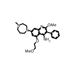 COCCOc1cc(N2CCCN(C)CC2)cc2nc(OC)c(-c3ccccc3)c(N)c12